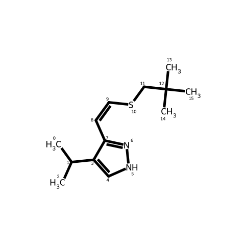 CC(C)c1c[nH]nc1/C=C\SCC(C)(C)C